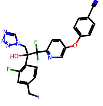 N#Cc1ccc(Oc2ccc(C(F)(F)C(O)(Cn3cnnn3)c3ccc(CI)cc3F)nc2)cc1